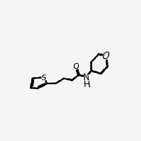 O=C(CCCc1cccs1)NC1CCOCC1